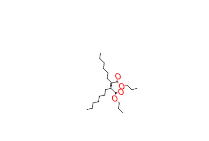 CCCCCCC/C(C(=O)OCCC)=C(\CCCCCC)C(=O)OCCC